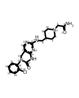 NC(=O)CN1CCC(CNc2ncc3c(n2)NC(=O)N(c2ccccc2Cl)C3)CC1